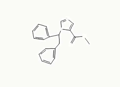 COC(=O)c1cncn1C(Cc1ccccc1)c1ccccc1